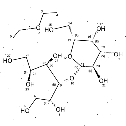 CCOCC.OC[C@@H](O)[C@@H](O[C@@H]1O[C@H](CO)[C@H](O)[C@H](O)[C@H]1O)[C@H](O)[C@@H](O)CO